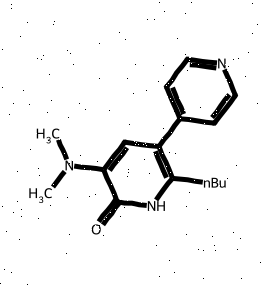 CCCCc1[nH]c(=O)c(N(C)C)cc1-c1ccncc1